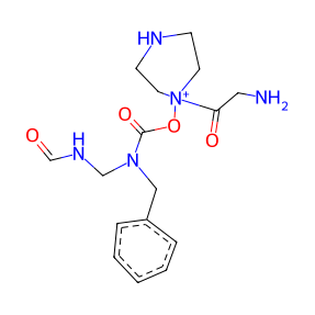 NCC(=O)[N+]1(OC(=O)N(CNC=O)Cc2ccccc2)CCNCC1